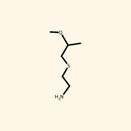 COC(C)CSCCN